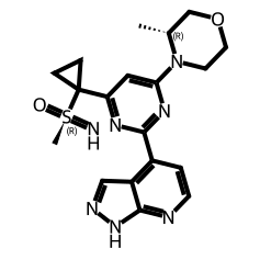 C[C@@H]1COCCN1c1cc(C2([S@](C)(=N)=O)CC2)nc(-c2ccnc3[nH]ncc23)n1